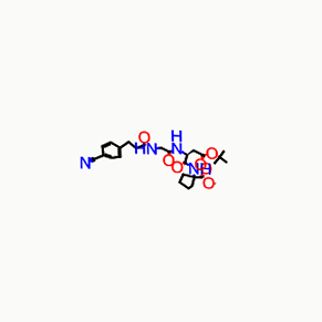 COC(=O)C1(NC(=O)[C@H](CC(=O)OC(C)(C)C)NC(=O)CNC(=O)CCc2ccc(C#N)cc2)CCCC1